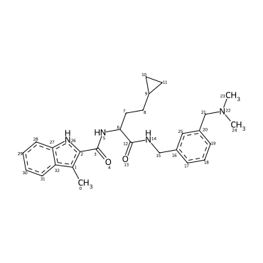 Cc1c(C(=O)NC(CCC2CC2)C(=O)NCc2cccc(CN(C)C)c2)[nH]c2ccccc12